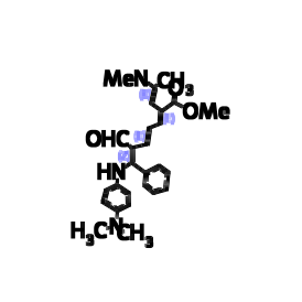 CN/C(C)=C/C(=C\C=C\C(C=O)=C(\Nc1ccc(N(C)C)cc1)c1ccccc1)C(=O)OC